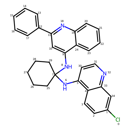 Clc1ccc2c(NC3(Nc4cc(-c5ccccc5)nc5ccccc45)CCCCC3)ccnc2c1